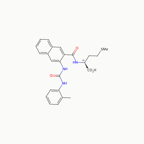 CSCC[C@H](NC(=O)c1cc2ccccc2cc1NC(=O)Nc1ccccc1C)C(=O)O